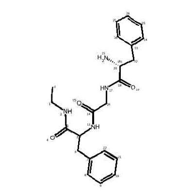 CCNC(=O)C(Cc1ccccc1)NC(=O)CNC(=O)[C@H](N)Cc1ccccc1